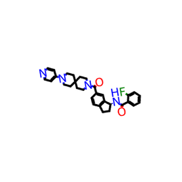 O=C(N[C@@H]1CCc2ccc(C(=O)N3CCC4(CC3)CCN(c3ccncc3)CC4)cc21)c1ccccc1F